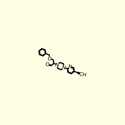 C#Cc1ccc(N2CCN(C(C=O)COCc3ccccc3)CC2)nc1